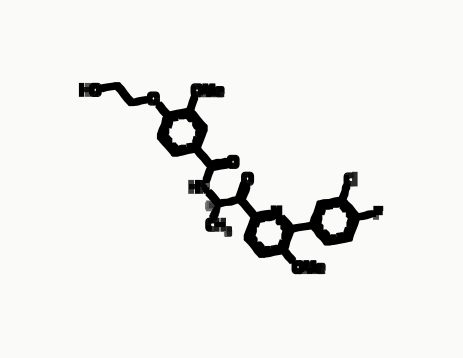 COc1cc(C(=O)N[C@H](C)C(=O)c2ccc(OC)c(-c3ccc(F)c(Cl)c3)n2)ccc1OCCO